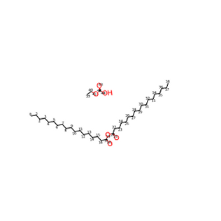 CCCCCCCCCCCCCCCCCC(=O)OC(=O)CCCCCCCCCCCCCCCCC.CCOC(=O)O